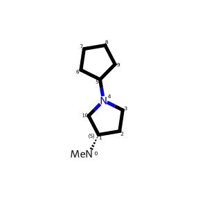 CN[C@H]1CCN(C2CCCC2)C1